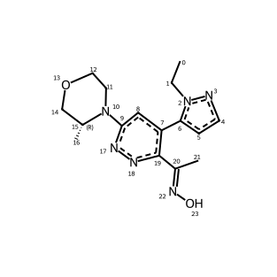 CCn1nccc1-c1cc(N2CCOC[C@H]2C)nnc1C(C)=NO